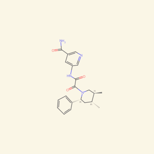 C[C@@H]1C[C@H](c2ccccc2)N(C(=O)C(=O)Nc2cncc(C(N)=O)c2)C[C@H]1C